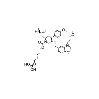 CNC(=O)CC1CC(c2ccc(OC)cc2)C(OCc2ccc3c(c2)N(CCCOC)CCO3)CN1C(=O)OCCCCCON(O)O